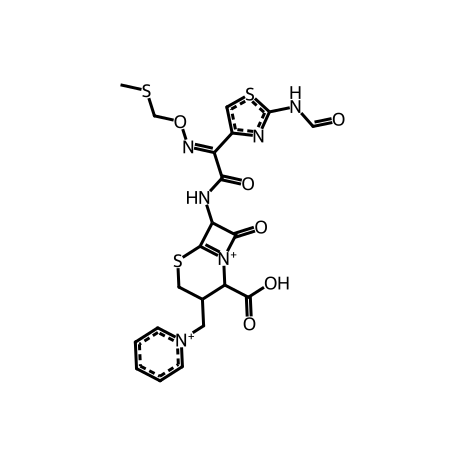 CSCON=C(C(=O)NC1C(=O)[N+]2=C1SCC(C[n+]1ccccc1)C2C(=O)O)c1csc(NC=O)n1